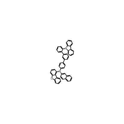 c1cc(-c2ccc(N(c3ccc4ccccc4c3)c3cccc4oc5ccccc5c34)cc2)cc(-c2ccccc2-n2c3ccccc3c3ccccc32)c1